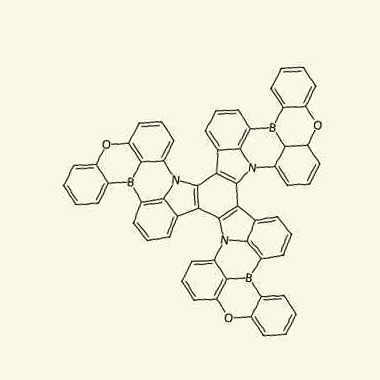 C1=CC2Oc3ccccc3B3c4cccc5c6c(c7c8cccc9c8n(c7c7c8cccc%10c8n(c67)-c6cccc7c6B%10c6ccccc6O7)-c6cccc7c6B9c6ccccc6O7)n(c45)C(=C1)C32